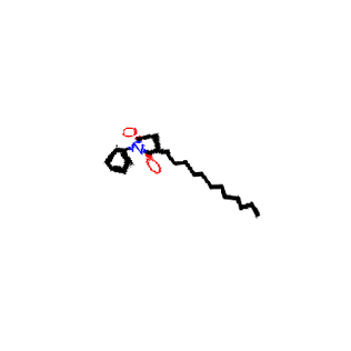 CCCCCCCCCCCCC1CC(=O)N(c2[c]cccc2)C1=O